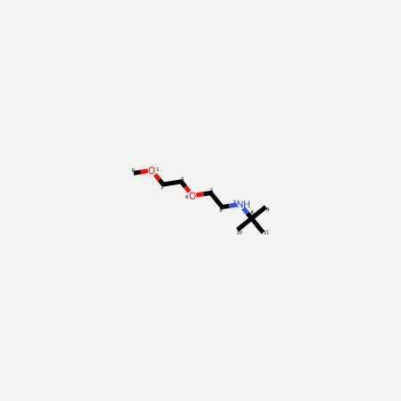 COCCOCCNC(C)(C)C